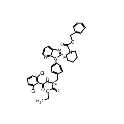 CCOC(=O)[C@H](Cc1ccc(-n2c([C@H]3CCCCN3C(=O)OCc3ccccc3)nc3cccnc32)cc1)NC(=O)c1c(Cl)cccc1Cl